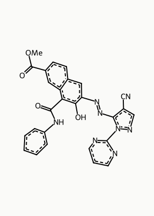 COC(=O)c1ccc2cc(/N=N/c3c(C#N)cnn3-c3ncccn3)c(O)c(C(=O)Nc3ccccc3)c2c1